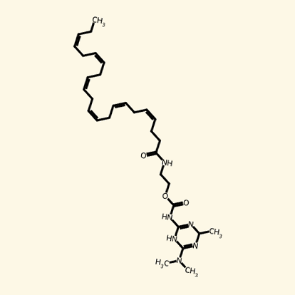 CC/C=C\C/C=C\C/C=C\C/C=C\C/C=C\C/C=C\CCC(=O)NCCOC(=O)NC1=NC(C)N=C(N(C)C)N1